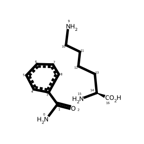 NC(=O)c1ccccc1.NCCCC[C@H](N)C(=O)O